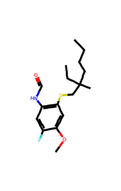 CCCCC(C)(CC)CSc1cc(OC)c(F)cc1NC=O